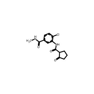 CNC(=O)c1ccc(Cl)c(NC(=O)C2CCCC2=O)c1